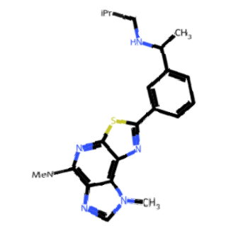 CNc1nc2sc(-c3cccc(C(C)NCC(C)C)c3)nc2c2c1ncn2C